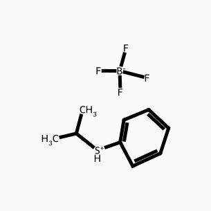 CC(C)[SH+]c1ccccc1.F[B-](F)(F)F